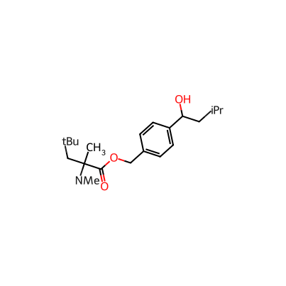 CNC(C)(CC(C)(C)C)C(=O)OCc1ccc(C(O)CC(C)C)cc1